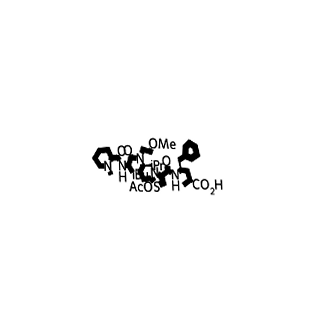 CCC(C)C(NC(=O)C1CCCCN1C)C(=O)N(CCOC)[C@H](C[C@@H](OC(C)=O)c1nc(C(=O)N[C@@H](Cc2ccccc2)C[C@H](C)C(=O)O)cs1)C(C)C